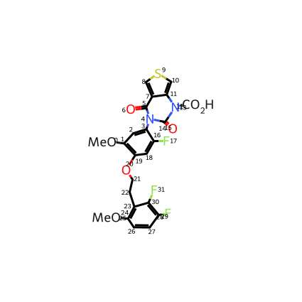 COc1cc(-n2c(=O)c3cscc3n(C(=O)O)c2=O)c(F)cc1OCCc1c(OC)ccc(F)c1F